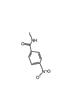 O=C(NI)c1ccc([N+](=O)[O-])cc1